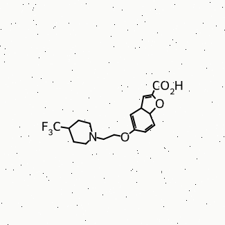 O=C(O)C1=CC2C=C(OCCN3CCC(C(F)(F)F)CC3)C=CC2O1